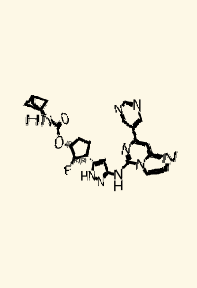 O=C(NC12CC(C1)C2)O[C@@H]1CC[C@H](c2cc(Nc3nc(-c4cncnc4)cc4nccn34)n[nH]2)[C@H]1F